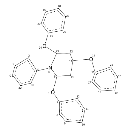 [c]1ccc(N2C(Oc3ccccc3)CC(Oc3ccccc3)CC2Oc2ccccc2)cc1